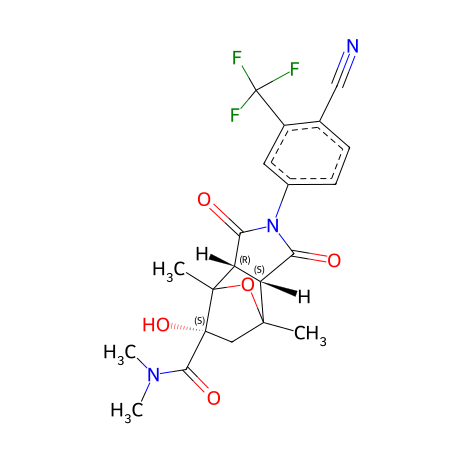 CN(C)C(=O)[C@]1(O)CC2(C)OC1(C)[C@@H]1C(=O)N(c3ccc(C#N)c(C(F)(F)F)c3)C(=O)[C@@H]12